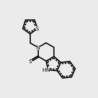 S=C1c2[nH]c3ccccc3c2CCN1Cc1cccs1